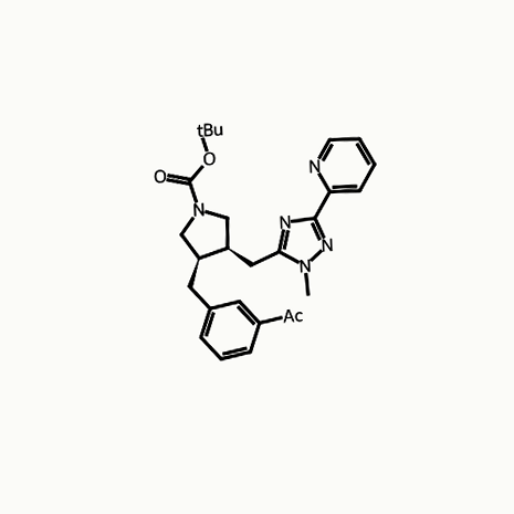 CC(=O)c1cccc(C[C@H]2CN(C(=O)OC(C)(C)C)C[C@H]2Cc2nc(-c3ccccn3)nn2C)c1